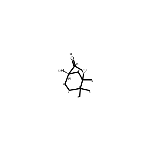 CC1(C)CC[C@@H]2CC1(C)OC2=O